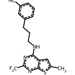 Cc1cc2c(NCCCc3cccc(C#N)c3)nc(C(F)(F)F)nc2s1